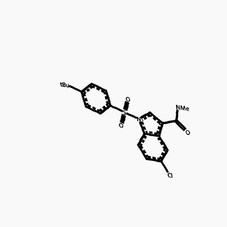 CNC(=O)c1cn(S(=O)(=O)c2ccc(C(C)(C)C)cc2)c2ccc(Cl)cc12